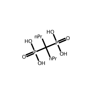 CCCC(CCC)(P(=O)(O)O)P(=O)(O)O